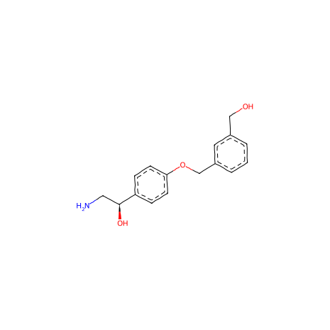 NC[C@H](O)c1ccc(OCc2cccc(CO)c2)cc1